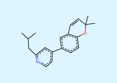 CC(C)Cc1cc(-c2ccc3c(c2)C=CC(C)(C)O3)ccn1